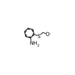 Nc1ccccc1SC[O]